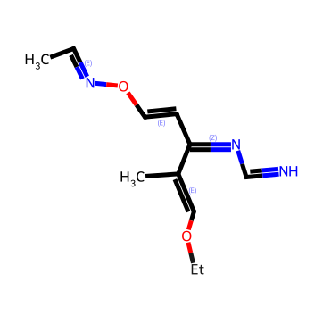 C/C=N/O/C=C/C(=N/C=N)C(/C)=C/OCC